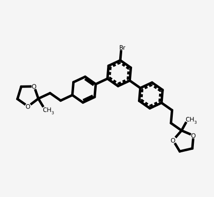 CC1(CCc2ccc(-c3cc(Br)cc(C4=CCC(CCC5(C)OCCO5)C=C4)c3)cc2)OCCO1